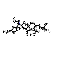 CO/N=C(/C(=O)NC1C(=O)N2C(C(=O)O)=C(COC(N)=O)CS[C@H]12)c1csc(N)n1